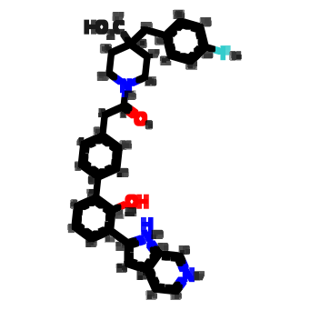 O=C(Cc1ccc(-c2cccc(-c3cc4ccncc4[nH]3)c2O)cc1)N1CCC(Cc2ccc(F)cc2)(C(=O)O)CC1